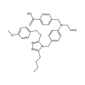 C=CCN(Cc1ccc(C(=O)O)cc1)c1ccc(Cn2c(CCCC)nnc2SCc2ccc(OC)cc2)cc1